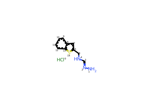 Cl.NN=CNCc1cc2ccccc2s1